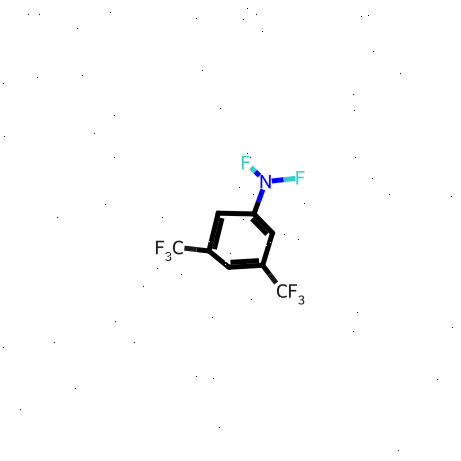 FN(F)c1cc(C(F)(F)F)cc(C(F)(F)F)c1